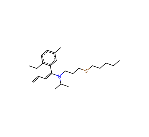 C=C/C=C(\c1cc(C)ccc1CC)N(CCCSCCCCC)C(C)C